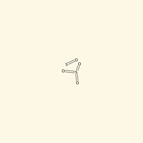 O=S.O=S(=O)=O